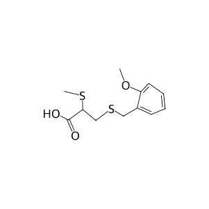 COc1ccccc1CSCC(SC)C(=O)O